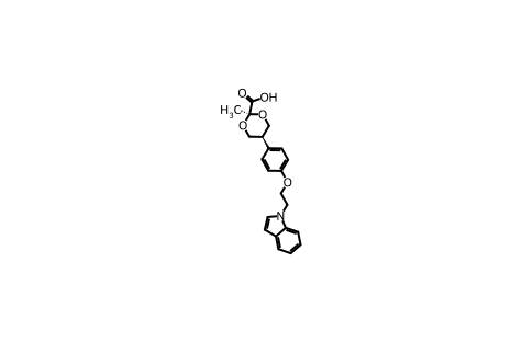 C[C@]1(C(=O)O)OC[C@@H](c2ccc(OCCn3ccc4ccccc43)cc2)CO1